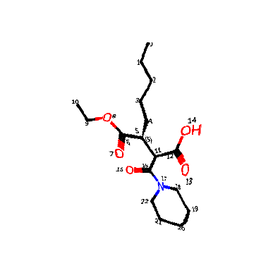 CCCCC[C@H](C(=O)OCC)C(C(=O)O)C(=O)N1CCCCC1